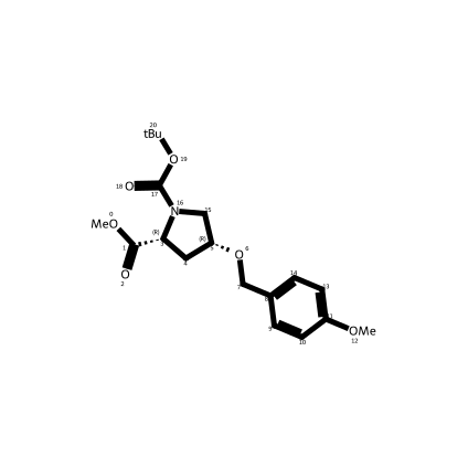 COC(=O)[C@H]1C[C@@H](OCc2ccc(OC)cc2)CN1C(=O)OC(C)(C)C